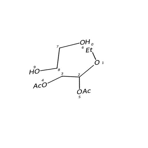 CCOC(COC(C)=O)OC(C)=O.OCCO